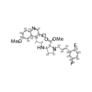 COC(=O)C1C(NCCc2c(Cl)cnc3ccc(OC)cc23)CCN1C/C=C/c1cc(F)ccc1F